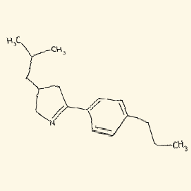 CCCc1ccc(C2=NCC(CC(C)C)C2)cc1